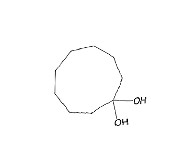 OC1(O)CCCCCCCC1